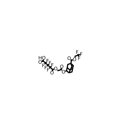 O=C(COC(=O)C(F)(F)C(F)(F)C(F)(F)C(=O)O)OC1C2CC3CC1CC(C(=O)OCC(F)(F)F)(C3)C2